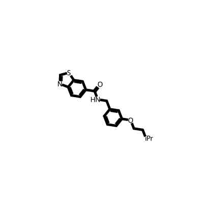 CC(C)CCOc1cccc(CNC(=O)c2ccc3ncsc3c2)c1